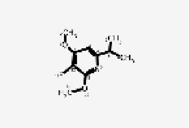 COc1cc(C(C)C)nc(OC)c1F